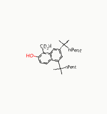 CCCCCC(C)(C)c1cc(C(C)(C)CCCCC)c2ccc(O)c(C(=O)O)c2c1